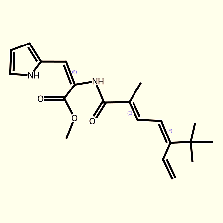 C=C/C(=C\C=C(/C)C(=O)N/C(=C/c1ccc[nH]1)C(=O)OC)C(C)(C)C